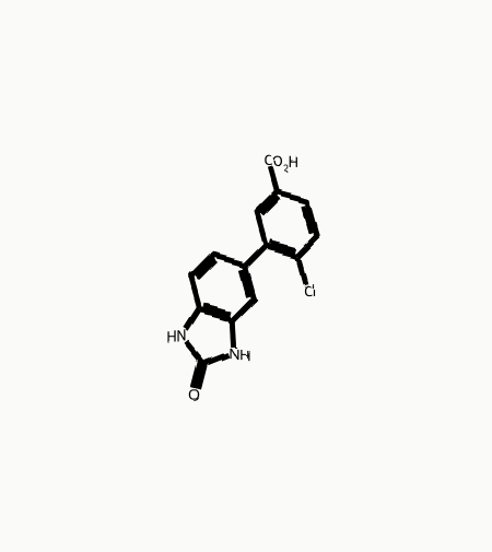 O=C(O)c1ccc(Cl)c(-c2ccc3[nH]c(=O)[nH]c3c2)c1